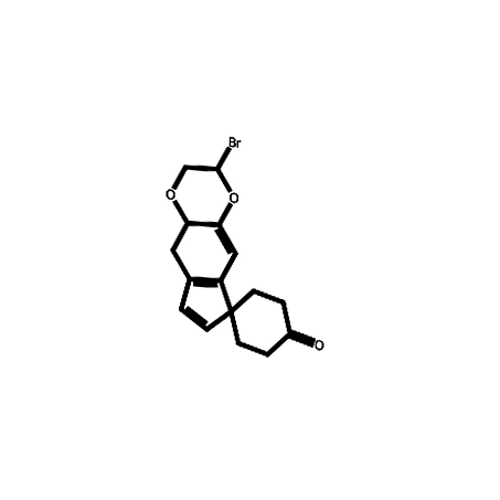 O=C1CCC2(C=CC3=C2C=C2OC(Br)COC2C3)CC1